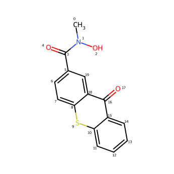 CN(O)C(=O)c1ccc2sc3ccccc3c(=O)c2c1